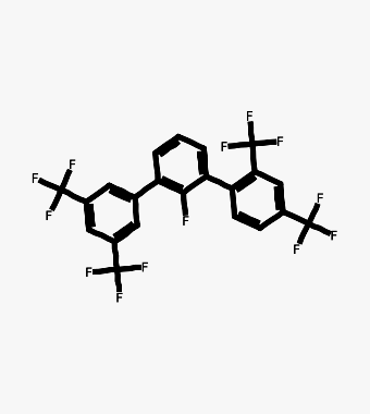 Fc1c(-c2cc(C(F)(F)F)cc(C(F)(F)F)c2)cccc1-c1ccc(C(F)(F)F)cc1C(F)(F)F